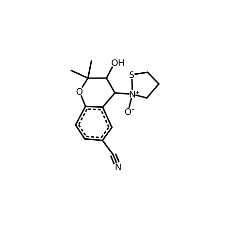 CC1(C)Oc2ccc(C#N)cc2C([N+]2([O-])CCCS2)C1O